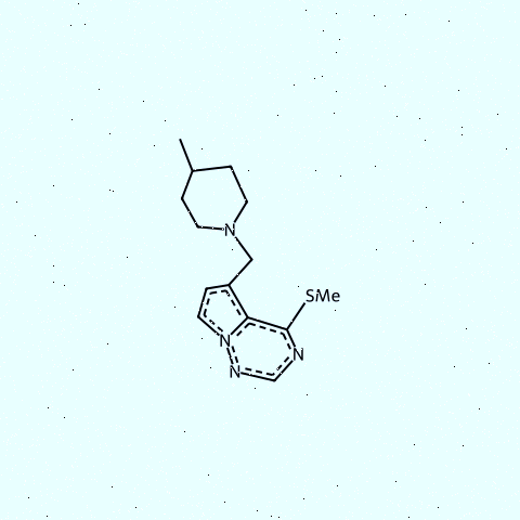 CSc1ncnn2ccc(CN3CCC(C)CC3)c12